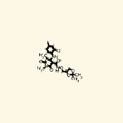 Cn1c(Nc2ccc(I)cc2Cl)c(C(=O)NOCC2COC(C)(C)O2)c(=O)n(C)c1=O